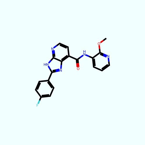 COc1ncccc1NC(=O)c1ccnc2[nH]c(-c3ccc(F)cc3)nc12